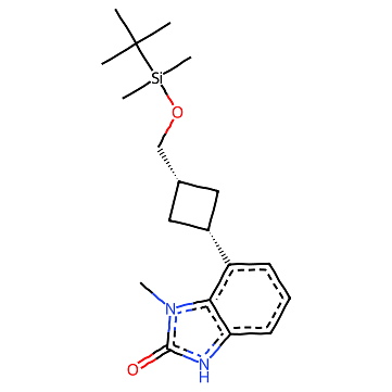 Cn1c(=O)[nH]c2cccc([C@H]3C[C@@H](CO[Si](C)(C)C(C)(C)C)C3)c21